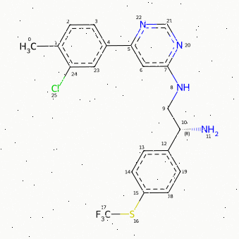 Cc1ccc(-c2cc(NC[C@H](N)c3ccc(SC(F)(F)F)cc3)ncn2)cc1Cl